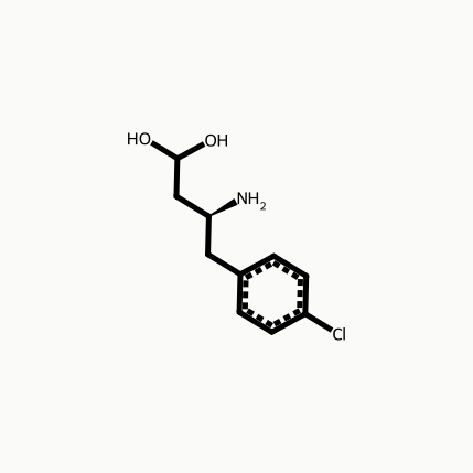 N[C@@H](Cc1ccc(Cl)cc1)CC(O)O